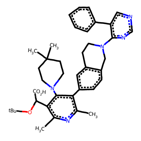 Cc1nc(C)c(C(OC(C)(C)C)C(=O)O)c(N2CCC(C)(C)CC2)c1-c1ccc2c(c1)CCN(c1ncncc1-c1ccccc1)C2